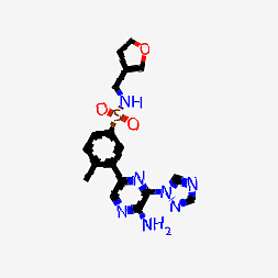 Cc1ccc(S(=O)(=O)NCC2CCOC2)cc1-c1cnc(N)c(-n2cncn2)n1